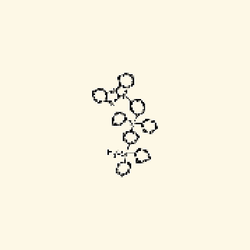 C[Si](c1ccccc1)(c1ccccc1)c1ccc([Si](c2ccccc2)(c2ccccc2)c2cccc(-n3c4ccccc4n4c5ccccc5nc34)c2)cc1